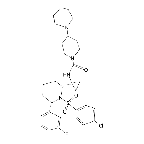 O=C(NC1([C@H]2CCC[C@@H](c3cccc(F)c3)N2S(=O)(=O)c2ccc(Cl)cc2)CC1)N1CCC(N2CCCCC2)CC1